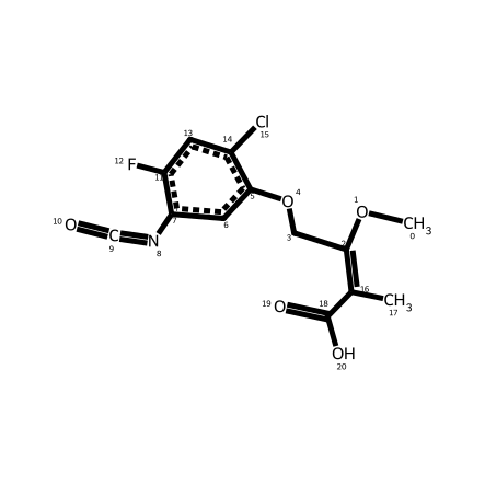 COC(COc1cc(N=C=O)c(F)cc1Cl)=C(C)C(=O)O